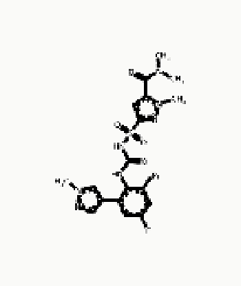 CC(C)c1cc(F)cc(-c2cnn(C)c2)c1NC(=O)NS(=O)(=O)c1cc(C(=O)N(C)C)n(C)n1